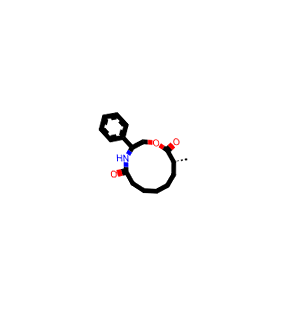 C[C@@H]1CCCCCC(=O)NC(c2ccccc2)COC1=O